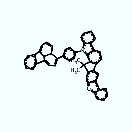 CC1(C)c2cc3oc4ccccc4c3cc2-c2ccc3c4ccccc4n(-c4ccc(C5=CC=C6c7ccccc7C7=CC=CC5C76)cc4)c3c21